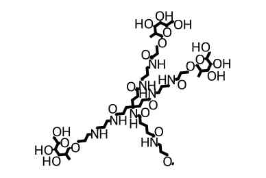 COCCCNC(=O)CCCC(=O)NC(CCC(=O)NCCCNCCCO[C@@H]1OC(CO)[C@H](O)[C@H](O)C1C)(CCC(=O)NCCCNC(=O)CCO[C@@H]1OC(CO)[C@H](O)[C@H](O)C1C)CCC(=O)NCCCNC(=O)CCO[C@@H]1OC(CO)[C@H](O)[C@H](O)C1C